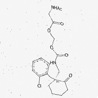 CC(=O)NCC(=O)OCOC(=O)NC[C@@]1(c2ccccc2Cl)CCCCC1=O